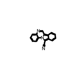 N#Cc1c2ccccc2c2cnc3ccccc3n12